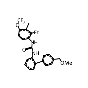 CCc1c(NC(=O)Nc2ccccc2-c2ccc(COC)cc2)ccc(OC(F)(F)F)c1C